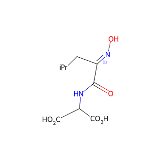 CC(C)C/C(=N\O)C(=O)NC(C(=O)O)C(=O)O